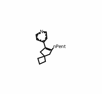 CCCCCC1=C(c2ccncc2)CC2(CCC2)C1